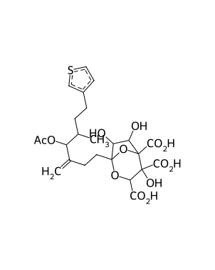 C=C(CCC12OC(C(=O)O)C(O)(C(=O)O)C(C(=O)O)(O1)C(O)C2O)C(OC(C)=O)C(C)CCc1ccsc1